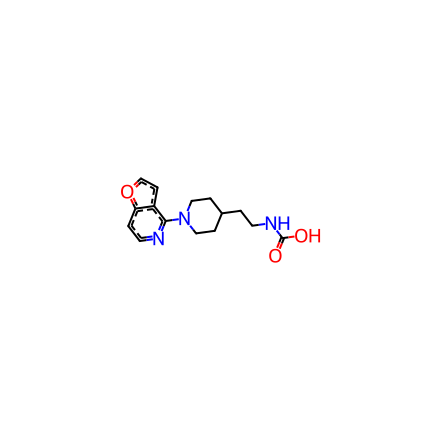 O=C(O)NCCC1CCN(c2nccc3occc23)CC1